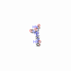 O=C1NC(=O)/C(=C\c2cc(N3CCOCC3)nc(N3CC4(CN(C(=O)Nc5ccccc5)C4)C3)n2)S1